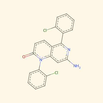 Nc1cc2c(ccc(=O)n2-c2ccccc2Cl)c(-c2ccccc2Cl)n1